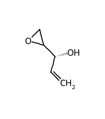 C=C[C@@H](O)C1CO1